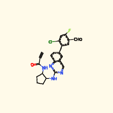 C#CC(=O)NC1CCCC1Nc1ncc2cc(-c3cc(C=O)c(F)cc3Cl)ccc2n1